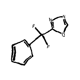 FC(F)(c1ccccc1)c1nnco1